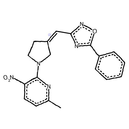 Cc1ccc([N+](=O)[O-])c(N2CC/C(=C/c3noc(-c4ccccc4)n3)C2)n1